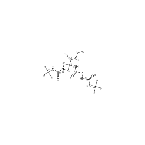 CCOC(=O)C1(NC(=O)CNC(=O)OC(C)(C)C)CN(C(=O)OC(C)(C)C)C1